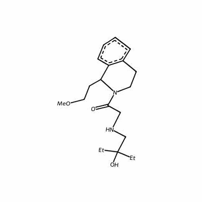 CCC(O)(CC)CNCC(=O)N1CCc2ccccc2C1CCOC